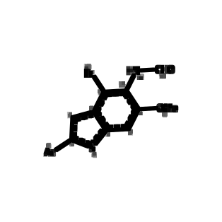 COc1cc2sc(C(C)=O)cc2c(Br)c1NC=O